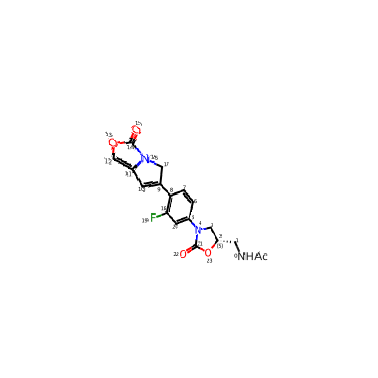 CC(=O)NC[C@H]1CN(c2ccc(C3=Cc4coc(=O)n4C3)c(F)c2)C(=O)O1